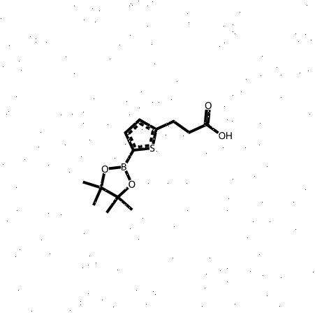 CC1(C)OB(c2ccc(CCC(=O)O)s2)OC1(C)C